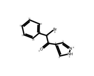 O=C(c1cn[nH]c1)C(Br)c1ccccc1